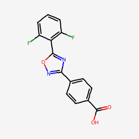 O=C(O)c1ccc(-c2noc(-c3c(F)cccc3F)n2)cc1